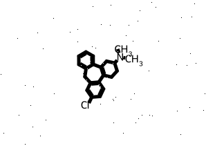 CN(C)C1CCC2=C(C1)c1ccccc1Cc1cc(Cl)ccc12